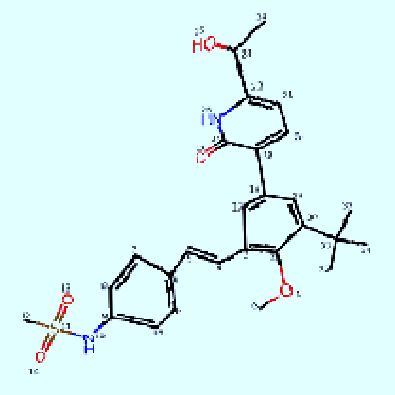 COc1c(C=Cc2ccc(NS(C)(=O)=O)cc2)cc(-c2ccc(C(C)O)[nH]c2=O)cc1C(C)(C)C